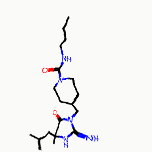 CCCCNC(=O)N1CCC(CN2C(=N)NC(C)(CC(C)C)C2=O)CC1